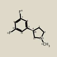 CN1C[CH][C@H](c2cc(F)cc(F)c2)C1